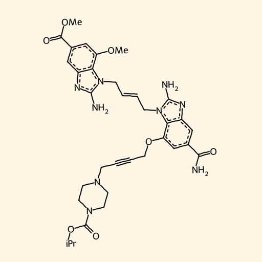 COC(=O)c1cc(OC)c2c(c1)nc(N)n2C/C=C/Cn1c(N)nc2cc(C(N)=O)cc(OCC#CCN3CCN(C(=O)OC(C)C)CC3)c21